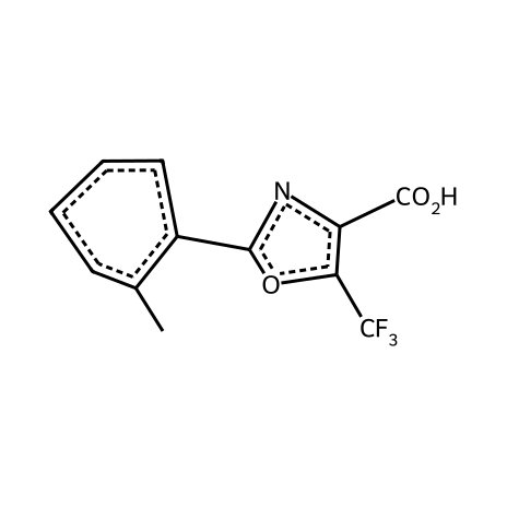 Cc1ccccc1-c1nc(C(=O)O)c(C(F)(F)F)o1